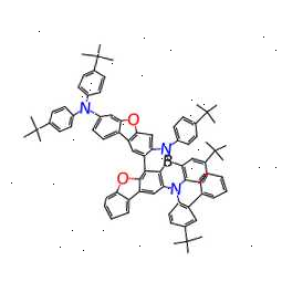 CC(C)(C)c1ccc(N2B3c4cc(C(C)(C)C)ccc4N(c4ccc(C(C)(C)C)cc4-c4ccccc4)c4cc5c(oc6ccccc65)c(c43)-c3cc4c(cc32)oc2cc(N(c3ccc(C(C)(C)C)cc3)c3ccc(C(C)(C)C)cc3)ccc24)cc1